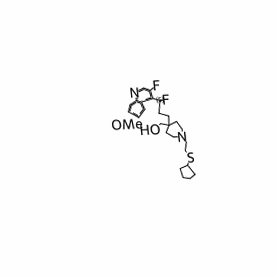 COc1ccc2ncc(F)c([C@@H](F)CCC3(CO)CCN(CCSC4CCCC4)CC3)c2c1